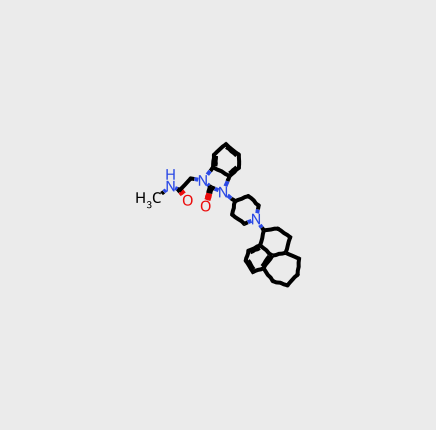 CNC(=O)Cn1c(=O)n(C2CCN(C3CCC4CCCCc5cccc3c54)CC2)c2ccccc21